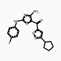 Nc1nc(Nc2ccc(F)cc2)sc1C(=O)c1cc(C2CCCC2)no1